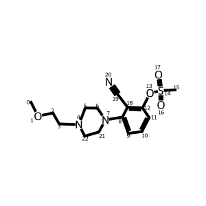 COCCN1CCN(c2cccc(OS(C)(=O)=O)c2C#N)CC1